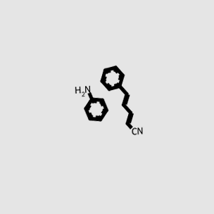 N#CC=CC=Cc1ccccc1.Nc1ccccc1